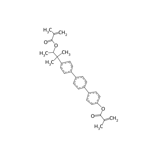 C=C(C)C(=O)Oc1ccc(-c2ccc(-c3ccc(C(C)(C)C(C)OC(=O)C(=C)C)cc3)cc2)cc1